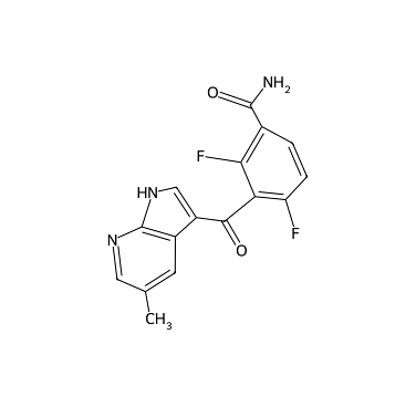 Cc1cnc2[nH]cc(C(=O)c3c(F)ccc(C(N)=O)c3F)c2c1